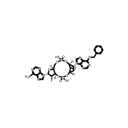 Nc1ncnc2c1ncn2[C@@H]1O[C@@H]2COP(=O)(S)O[C@@H]3[C@H](O)[C@H](C[C@H]3n3cnc4c(OCc5ccccc5)ncnc43)OP(=O)(S)O[C@H]2[C@H]1F